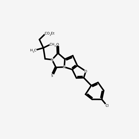 CCOC(=O)CC(C)(C)CN1C(=O)c2cc3oc(-c4ccc(Cl)cc4)cc3n2C1=S